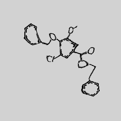 COc1cc(C(=O)OCc2ccccc2)cc(Cl)c1OCc1ccccc1